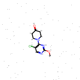 COc1ncc(Cl)c(N2CCC(=O)CC2)n1